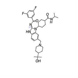 CC(C)NC(=O)C1CCC(n2/c(=N\C(=O)c3cc(F)cc(F)c3)[nH]c3ccc(CN4CCC(C(C)(C)O)CC4)cc32)CC1